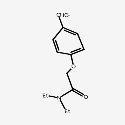 CCN(CC)C(=O)COc1ccc([C]=O)cc1